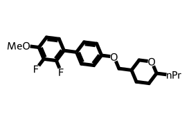 CCCC1CCC(COc2ccc(-c3ccc(OC)c(F)c3F)cc2)CO1